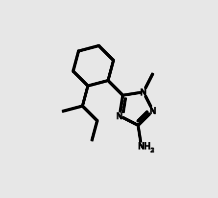 CCC(C)C1CCCCC1c1nc(N)nn1C